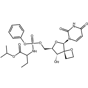 CCC(NP(=O)(OC[C@H]1O[C@@H](n2ccc(=O)[nH]c2=O)[C@@]2(CCO2)[C@@H]1O)Oc1ccccc1)C(=O)OC(C)C